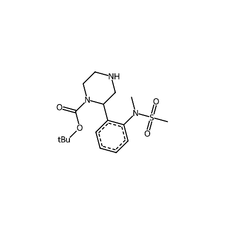 CN(c1ccccc1C1CNCCN1C(=O)OC(C)(C)C)S(C)(=O)=O